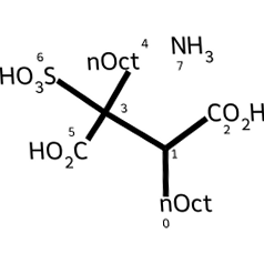 CCCCCCCCC(C(=O)O)C(CCCCCCCC)(C(=O)O)S(=O)(=O)O.N